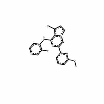 COc1cccc(-c2nc(Nc3ccncc3F)c3c(Cl)ccn3n2)n1